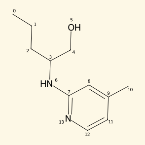 CCCC(CO)Nc1cc(C)ccn1